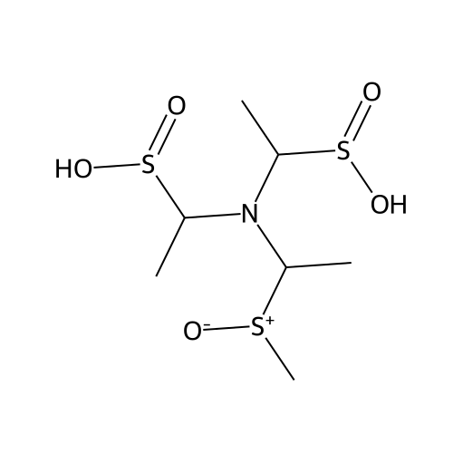 CC(N(C(C)S(=O)O)C(C)[S+](C)[O-])S(=O)O